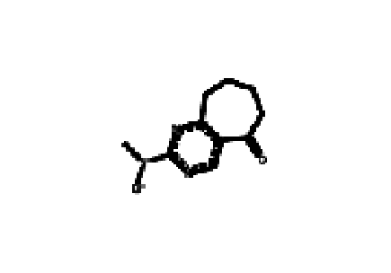 C[S+]([O-])c1ncc2c(n1)CCCCC2=O